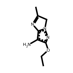 CCOc1nn2c(c1N)N=C(C)C2